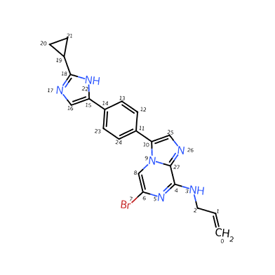 C=CCNc1nc(Br)cn2c(-c3ccc(-c4cnc(C5CC5)[nH]4)cc3)cnc12